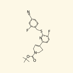 CC(C)(C)OC(=O)N1CC=C(c2ccc(F)c(SCc3ccc(C#N)cc3F)n2)CC1